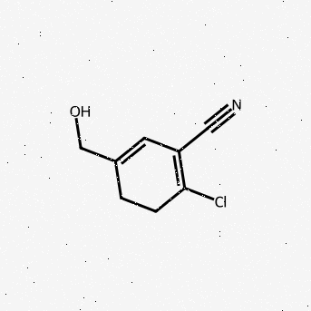 N#CC1=C(Cl)CCC(CO)=C1